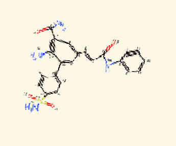 NC(=O)c1cc(C=CC(=O)Nc2ccccc2)cc(-c2ccc(S(N)(=O)=O)cc2)c1N